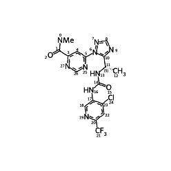 CNC(=O)c1cc(-n2ncnc2[C@H](C)NC(=O)Nc2cnc(C(F)(F)F)cc2Cl)ncn1